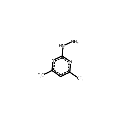 NNc1nc(C(F)(F)F)cc(C(F)(F)F)n1